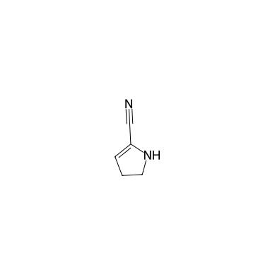 N#CC1=CCCN1